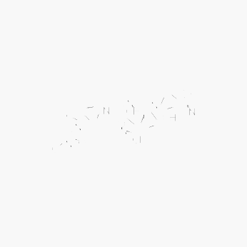 Cc1ccc(-c2c(C)noc2C)cc1N(CC1CN(C2CCN(c3ccc4c(c3)CN(C3CCC(=O)NC3=O)C4=O)CC2)C1)c1ccc(C2(C#N)CC2)cc1